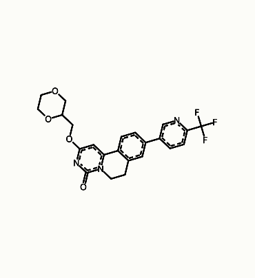 O=c1nc(OCC2COCCO2)cc2n1CCc1cc(-c3ccc(C(F)(F)F)nc3)ccc1-2